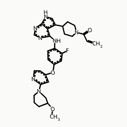 C=CC(=O)N1CCC(c2c[nH]c3ncnc(Nc4ccc(Oc5ccnc(N6CCCC(OC)C6)c5)cc4F)c23)CC1